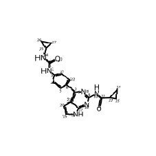 O=C(Nc1ccc(-c2nc(NC(=O)C3CC3)nc3[nH]ccc23)cc1)NC1CC1